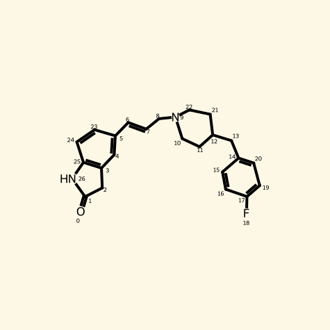 O=C1Cc2cc(C=CCN3CCC(Cc4ccc(F)cc4)CC3)ccc2N1